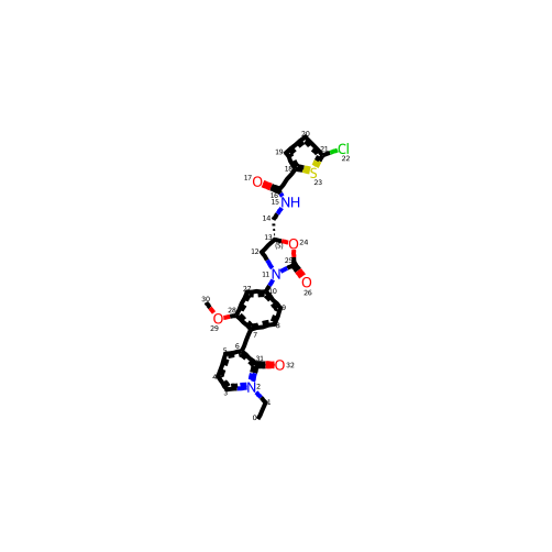 CCn1cccc(-c2ccc(N3C[C@H](CNC(=O)c4ccc(Cl)s4)OC3=O)cc2OC)c1=O